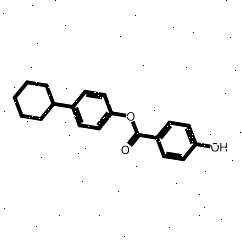 O=C(Oc1ccc(C2CCCCC2)cc1)c1ccc(O)cc1